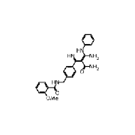 COc1ccccc1C(=O)NCc1ccc(C(=N)/C(C(N)=O)=C(/N)Nc2ccccc2)cc1